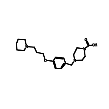 O=C(O)N1CCN(Cc2ccc(OCCCN3CCCCC3)cc2)CC1